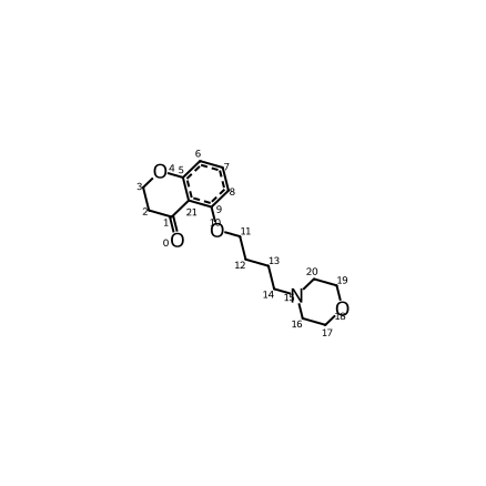 O=C1CCOc2cccc(OCCCCN3CCOCC3)c21